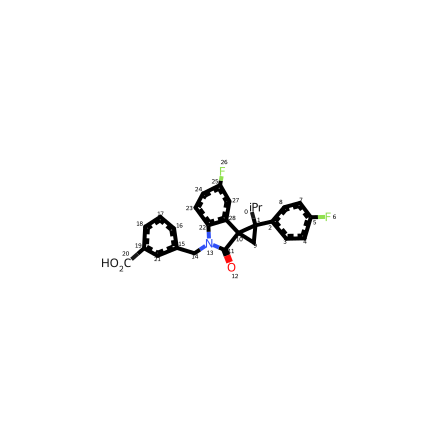 CC(C)C1(c2ccc(F)cc2)CC12C(=O)N(Cc1cccc(C(=O)O)c1)c1ccc(F)cc12